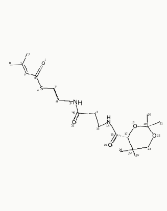 CC(C)=CC(=O)SCCNC(=O)CCNC(=O)[C@@H]1OC(C)(C)OCC1(C)C